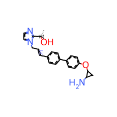 C[C@H](O)c1nccn1C/C=C/c1ccc(-c2ccc(OC3CC3N)cc2)cc1